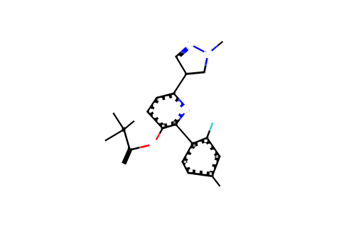 Bc1ccc(-c2nc(C3C=NN(C)C3)ccc2OC(=C)C(C)(C)C)c(F)c1